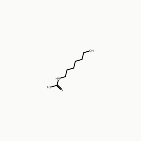 OCCCCCCNC(=S)S